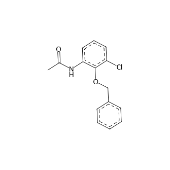 CC(=O)Nc1cccc(Cl)c1OCc1ccccc1